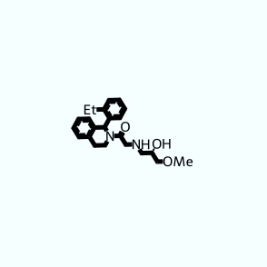 CCc1ccccc1C1c2ccccc2CCN1C(=O)CNC[C@H](O)COC